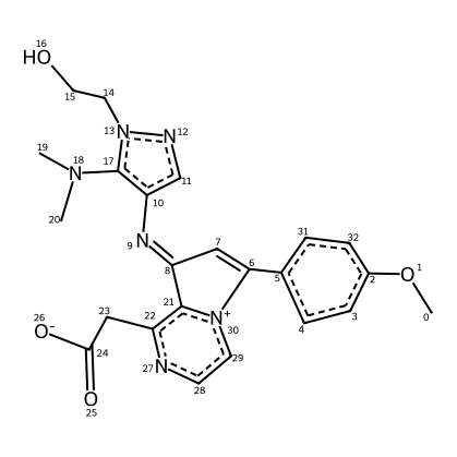 COc1ccc(C2=CC(=Nc3cnn(CCO)c3N(C)C)c3c(CC(=O)[O-])ncc[n+]32)cc1